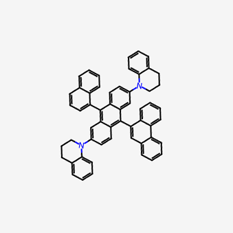 c1ccc2c(c1)CCCN2c1ccc2c(-c3cc4ccccc4c4ccccc34)c3cc(N4CCCc5ccccc54)ccc3c(-c3cccc4ccccc34)c2c1